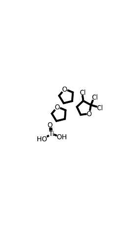 C1CCOC1.C1CCOC1.ClC1CCOC1(Cl)Cl.[O]=[Ti]([OH])[OH]